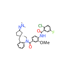 COc1cc(C(=O)N2CC[C@@]3(CCC(=NN(C)C)C3)Cc3ccccc32)ccc1NC(=O)c1cc(F)ccc1Cl